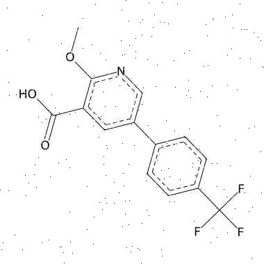 COc1ncc(-c2ccc(C(F)(F)F)cc2)cc1C(=O)O